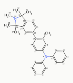 Cc1cc(N(c2ccccc2)c2ccccc2)ccc1-c1ccc2c(c1)C(C)(C)N(C)C2(C)C